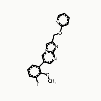 COc1c(F)cccc1-c1cnc2nc(COc3ccccn3)cn2c1